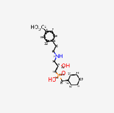 O=C(O)c1ccc(CCNC[C@H](O)CP(=O)(O)CC2CCCCC2)cc1